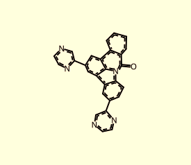 O=c1c2ccccc2c2cc(-c3cnccn3)cc3c4cc(-c5cnccn5)ccc4n1c23